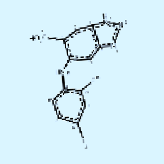 O=C(O)c1cc2[nH]nnc2cc1Nc1ccc(I)cc1F